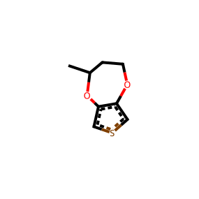 CC1CCOc2cscc2O1